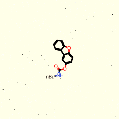 CCCCNC(=O)Oc1ccc2oc3ccccc3c2c1